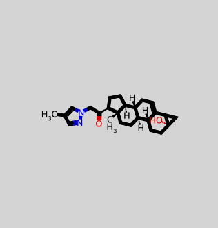 Cc1cnn(CC(=O)[C@H]2CC[C@H]3[C@@H]4CC=C5C6C[C@@]6(O)CC[C@@H]5[C@H]4CC[C@]23C)c1